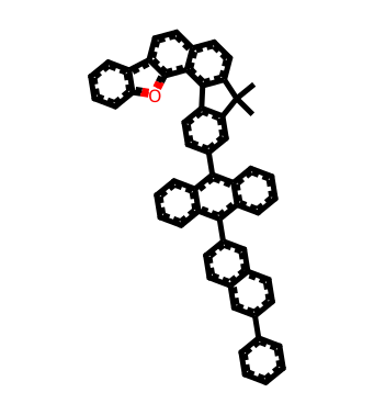 CC1(C)c2cc(-c3c4ccccc4c(-c4ccc5cc(-c6ccccc6)ccc5c4)c4ccccc34)ccc2-c2c1ccc1ccc3c4ccccc4oc3c21